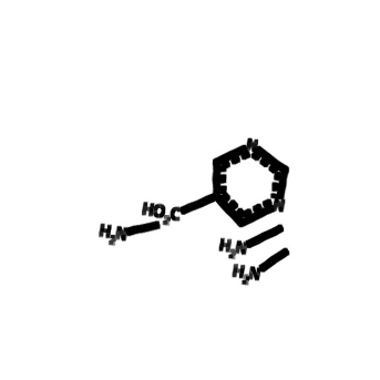 CN.CN.CN.O=C(O)c1cncnc1